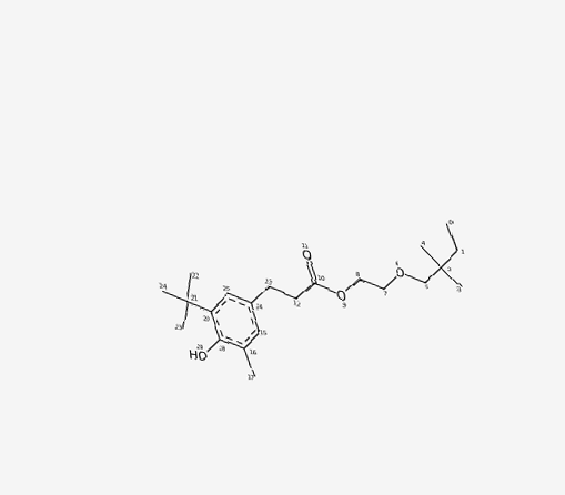 CCC(C)(C)COCCOC(=O)CCc1cc(C)c(O)c(C(C)(C)C)c1